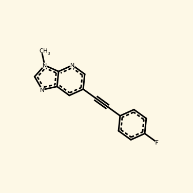 Cn1cnc2cc(C#Cc3ccc(F)cc3)cnc21